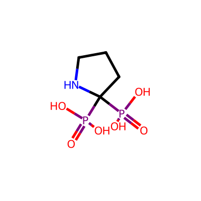 O=P(O)(O)C1(P(=O)(O)O)CCCN1